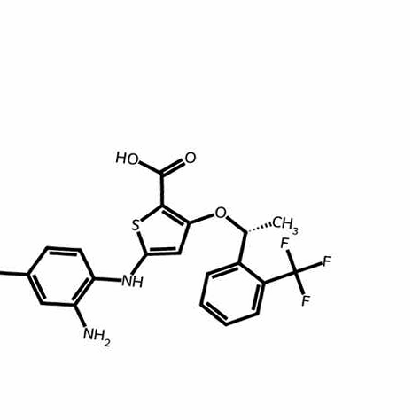 C[C@@H](Oc1cc(Nc2ccc(Br)cc2N)sc1C(=O)O)c1ccccc1C(F)(F)F